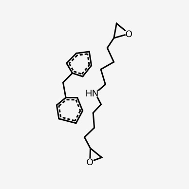 C(CCC1CO1)CNCCCCC1CO1.c1ccc(Cc2ccccc2)cc1